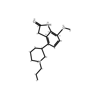 CCCN1CCCC(c2ccc(OC)c3c2CC(=O)N3)C1